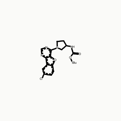 CC(C)(C)OC(=O)NC1CCN(c2ncnc3c2oc2ccc(Cl)cc23)C1